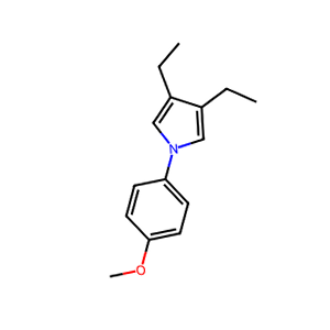 CCc1cn(-c2ccc(OC)cc2)cc1CC